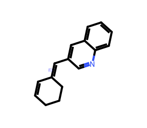 C1=C/C(=C/c2cnc3ccccc3c2)CCC1